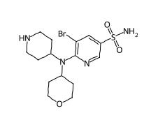 NS(=O)(=O)c1cnc(N(C2CCNCC2)C2CCOCC2)c(Br)c1